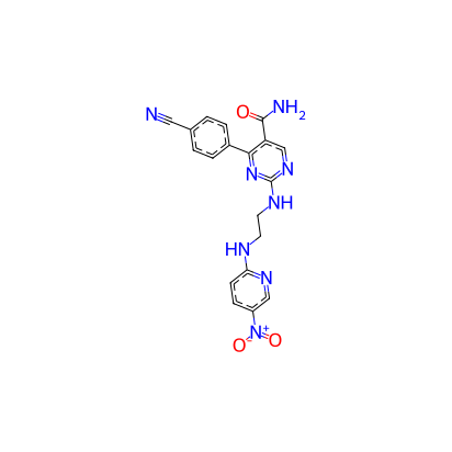 N#Cc1ccc(-c2nc(NCCNc3ccc([N+](=O)[O-])cn3)ncc2C(N)=O)cc1